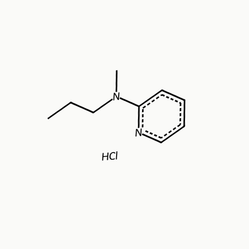 CCCN(C)c1ccccn1.Cl